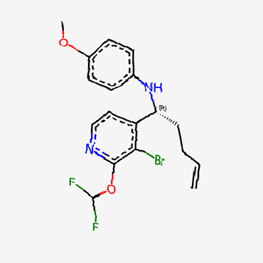 C=CCC[C@@H](Nc1ccc(OC)cc1)c1ccnc(OC(F)F)c1Br